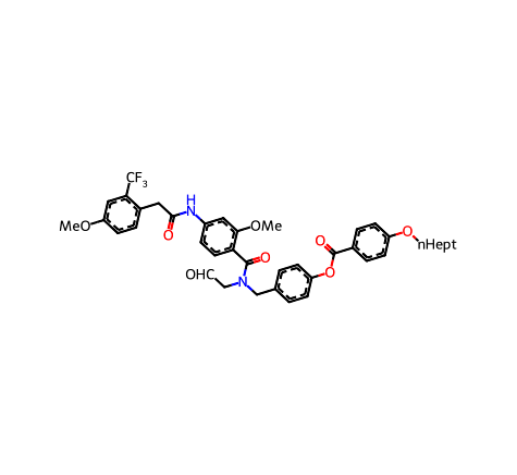 CCCCCCCOc1ccc(C(=O)Oc2ccc(CN(CC=O)C(=O)c3ccc(NC(=O)Cc4ccc(OC)cc4C(F)(F)F)cc3OC)cc2)cc1